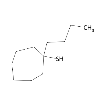 CCCCC1(S)CCCCCC1